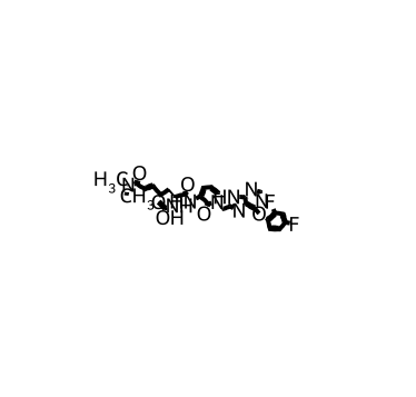 CN(C)C(=O)/C=C/CC[C@H](NC(=O)O)C(=O)Nc1cccn(Cc2nc3c(Oc4ccc(F)cc4F)ncnc3[nH]2)c1=O